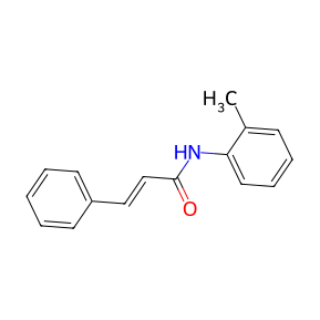 Cc1ccccc1NC(=O)C=Cc1ccccc1